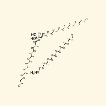 CCCCCCCCCCCCCCCCC=CP(O)(O)(O)C=CCCCCCCCCCCCCCCCC.CCCCCCCCCCCCCCCCCCN